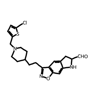 O=CC1Cc2cc3c(CCC4CCN(Cc5ccc(Cl)s5)CC4)noc3cc2N1